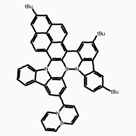 CC(C)(C)c1cc2ccc3c4c5c(c6ccc(c1)c2c36)-n1c2ccccc2c2cc(C3=CC=CB6C=CC=CN63)cc(c21)B5n1c2ccc(C(C)(C)C)cc2c2cc(C(C)(C)C)cc-4c21